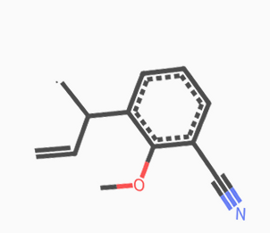 [CH2]C(C=C)c1cccc(C#N)c1OC